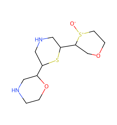 [O-][S+]1CCOCC1C1CNCC(C2CNCCO2)S1